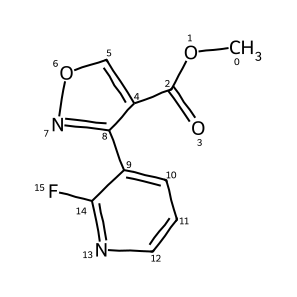 COC(=O)c1conc1-c1cccnc1F